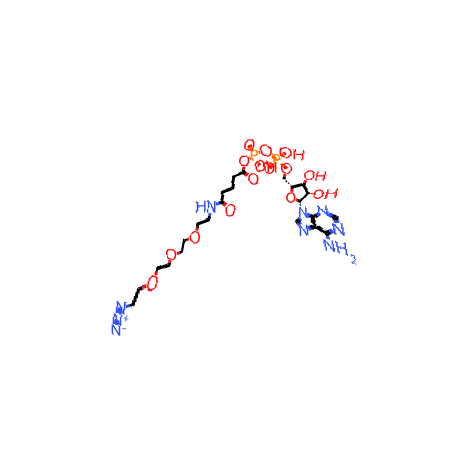 [N-]=[N+]=NCCOCCOCCOCCNC(=O)CCCC(=O)OP(=O)(O)OP(=O)(O)OC[C@H]1O[C@@H](n2cnc3c(N)ncnc32)[C@@H](O)C1O